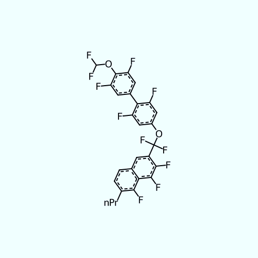 CCCc1ccc2cc(C(F)(F)Oc3cc(F)c(-c4cc(F)c(OC(F)F)c(F)c4)c(F)c3)c(F)c(F)c2c1F